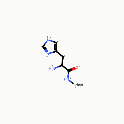 CCCCCCCNC(=O)C(N)Cc1c[nH]cn1